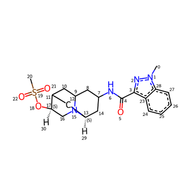 Cn1nc(C(=O)NC2CC3CC4C[C@@H](C2)N3C[C@H]4OS(C)(=O)=O)c2ccccc21